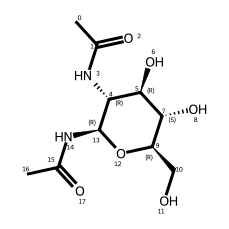 CC(=O)N[C@@H]1[C@@H](O)[C@H](O)[C@@H](CO)O[C@H]1NC(C)=O